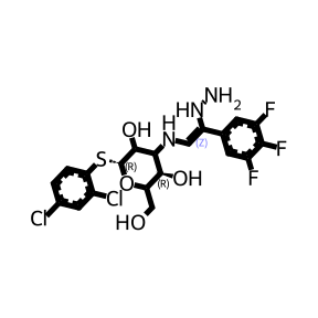 NN/C(=C\NC1C(O)[C@@H](Sc2ccc(Cl)cc2Cl)OC(CO)[C@@H]1O)c1cc(F)c(F)c(F)c1